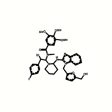 CCC(c1ccc(F)cc1)C(N(C)C(=O)c1cc(OC)c(OC)c(OC)c1)N1CCCCC1Nc1nc2ccccc2n1Cc1ccc(CO)o1